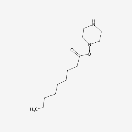 CCCCCCCCC(=O)ON1CCNCC1